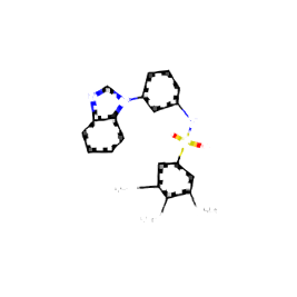 COc1cc(S(=O)(=O)Nc2cccc(-n3cnc4ccccc43)c2)cc(OC)c1OC